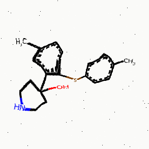 Cc1ccc(Sc2ccc(C)cc2C2(O)CCNCC2)cc1